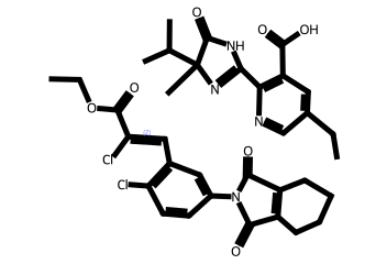 CCOC(=O)/C(Cl)=C/c1cc(N2C(=O)C3=C(CCCC3)C2=O)ccc1Cl.CCc1cnc(C2=NC(C)(C(C)C)C(=O)N2)c(C(=O)O)c1